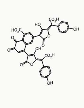 O=C1C=C(C2=C(O)/C(=C(\C(=O)O)c3ccc(O)cc3)OC2=O)c2cc(C3=C(O)/C(=C(\C(=O)O)c4ccc(O)cc4)OC3=O)cc(C(=O)O)c2C1=O